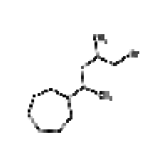 CC(C)CC(C)CC(C)N1CCCCCC1